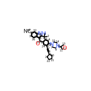 CC1(C)c2cc(N3CCN(C4COC4)CC3)c(C#CC3CCCC3)cc2C(=O)c2c1[nH]c1cc(C#N)ccc21